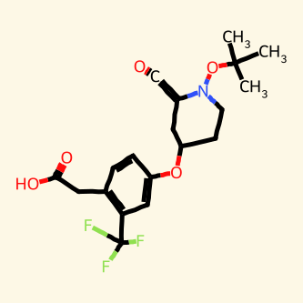 CC(C)(C)ON1CCC(Oc2ccc(CC(=O)O)c(C(F)(F)F)c2)CC1=C=O